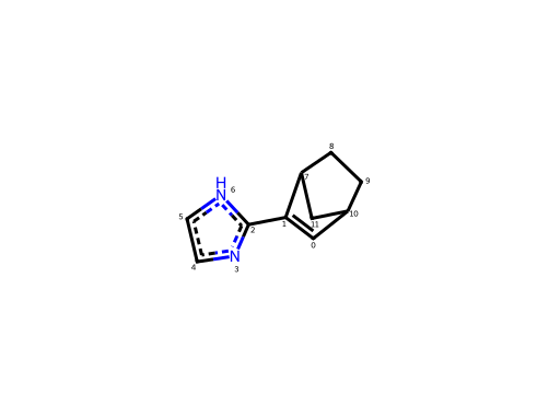 C1=C(c2ncc[nH]2)C2CCC1C2